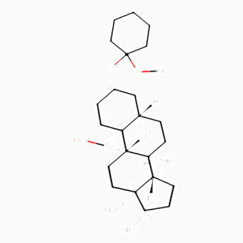 CCOC1(O[C@H]2CC[C@@]3(CO)[C@@H](CC[C@H]4[C@@H]5CC[C@H](O)[C@@]5(C)CC[C@@H]43)C2)CCCCC1